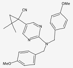 COc1ccc(CN(Cc2ccc(OC)cc2)c2ncc(C3(C#N)CC3(C)C)cn2)cc1